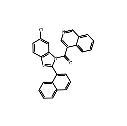 O=C(c1cncc2ccccc12)n1c(-c2cccc3ccccc23)nc2ccc(Cl)cc21